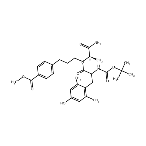 COC(=O)c1ccc(CCCN(C(=O)C(Cc2c(C)cc(O)cc2C)NC(=O)OC(C)(C)C)[C@H](C)C(N)=O)cc1